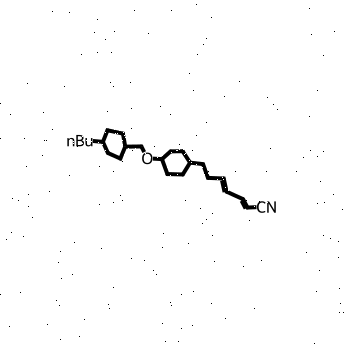 CCCCC1CCC(COC2CCC(CCC=CC=CC#N)CC2)CC1